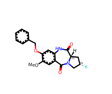 COc1cc2c(cc1OCc1ccccc1)NC(=O)[C@@H]1C[C@H](F)CN1C2=O